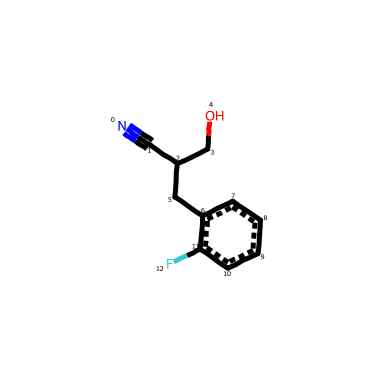 N#CC(CO)Cc1ccccc1F